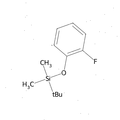 CC(C)(C)[Si](C)(C)Oc1[c]cccc1F